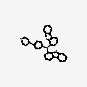 c1ccc2c(c1)sc1c(N(c3ccc(-c4ccncc4)cc3)c3cccc4c3sc3ccccc34)cccc12